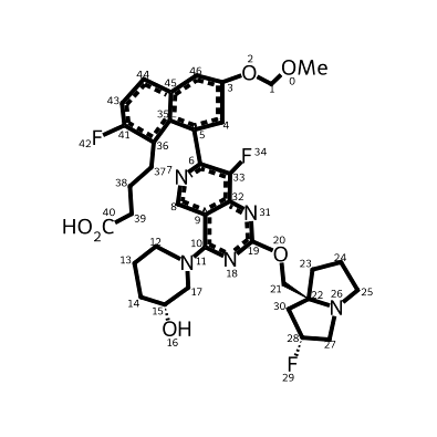 COCOc1cc(-c2ncc3c(N4CCC[C@@H](O)C4)nc(OC[C@@]45CCCN4C[C@H](F)C5)nc3c2F)c2c(CCCC(=O)O)c(F)ccc2c1